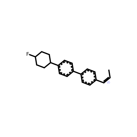 C/C=C\c1ccc(-c2ccc(C3CCC(F)CC3)cc2)cc1